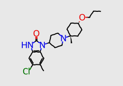 CCCO[C@H]1CC[C@@](C)(N2CCC(n3c(=O)[nH]c4cc(Cl)c(C)cc43)CC2)CC1